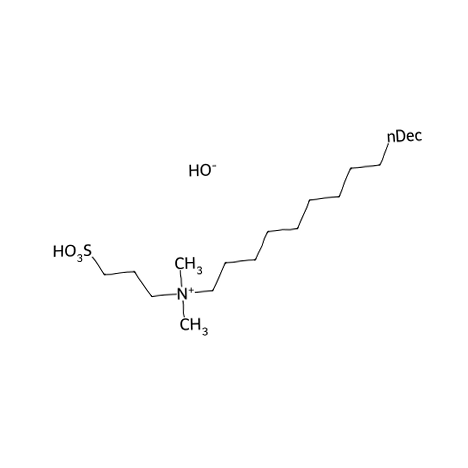 CCCCCCCCCCCCCCCCCCC[N+](C)(C)CCCS(=O)(=O)O.[OH-]